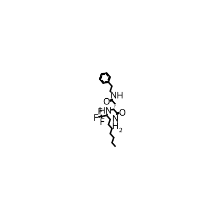 CCCCCCCC(N[C@H](CC(=O)NCCc1ccccc1)C(N)=O)C(F)(F)F